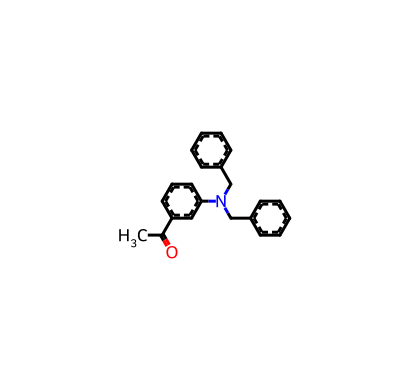 CC(=O)c1cccc(N(Cc2ccccc2)Cc2ccccc2)c1